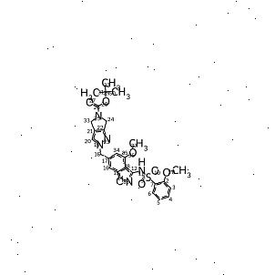 COc1ccccc1S(=O)(=O)Nc1noc2cc(Cn3cc4c(n3)CN(C(=O)OC(C)(C)C)C4)cc(OC)c12